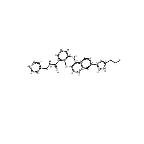 CCCc1cn(-c2ccc3c(Oc4cccc(C(=O)NCc5ccncc5)c4C)ccnc3c2)nn1